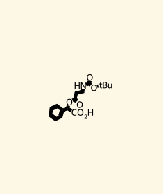 CC(C)(C)OC(=O)NCCC(=O)OC(C(=O)O)c1ccccc1